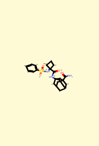 NC(=O)C12CC3CC(CC(NC(=O)C4(NS(=O)(=O)c5ccccc5)CCC4)(C3)C1)C2